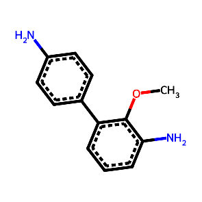 COc1c(N)cccc1-c1ccc(N)cc1